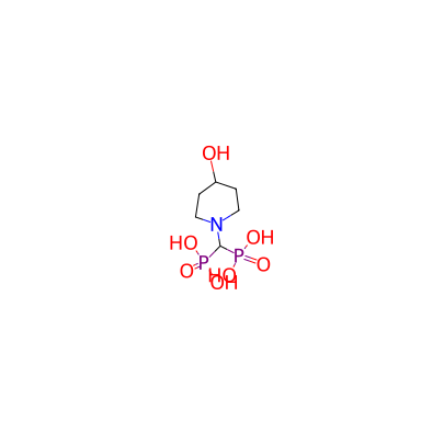 O=P(O)(O)C(N1CCC(O)CC1)P(=O)(O)O